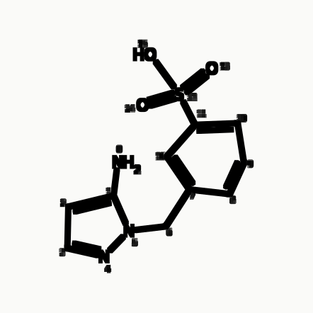 Nc1ccnn1Cc1cccc(S(=O)(=O)O)c1